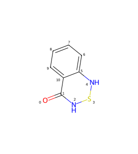 O=C1NSNc2ccccc21